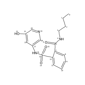 CCCCNC(=O)c1ccccc1S(=O)(=O)Nc1cncc(O)c1